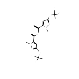 Cn1nc(OC(F)(F)F)cc1C(=O)OC(=O)c1cc(OC(F)(F)Cl)nn1C